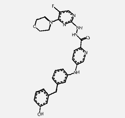 O=C(NNc1ncc(F)c(N2CCOCC2)n1)c1ccc(Nc2cccc(Cc3cccc(O)c3)c2)cn1